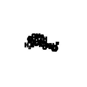 COC1CCOC1C(=O)N(C)Cc1csc(NC(=O)NCc2cccc(F)c2)n1